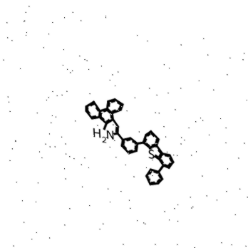 Cc1c(/C=C(\N)c2cccc(-c3cccc4c3sc3c(-c5ccccc5)cccc34)c2)c2ccccc2c2ccccc12